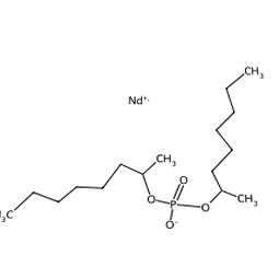 CCCCCCC(C)OP(=O)([O-])OC(C)CCCCCC.[Nd+]